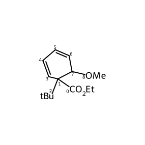 CCOC(=O)C1(C(C)(C)C)C=CC=CC1OC